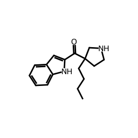 CCCCC1(C(=O)c2cc3ccccc3[nH]2)CCNC1